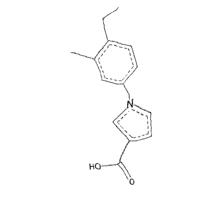 CCc1ccc(-n2ccc(C(=O)O)c2)cc1C